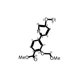 CCOc1ccc(-c2ccc(C(=O)OC)c(OCOC)c2)nc1